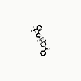 CC1CN(C(=O)c2ccccc2)CCN1S(=O)(=O)c1ccc(-c2ncccc2C(F)(F)F)s1